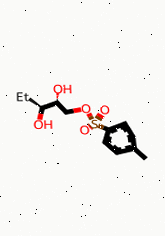 CC[C@H](O)[C@H](O)COS(=O)(=O)c1ccc(C)cc1